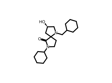 O=C1N(C2CCCCC2)CCC12C[C@@H](O)CN2CC1CCCCC1